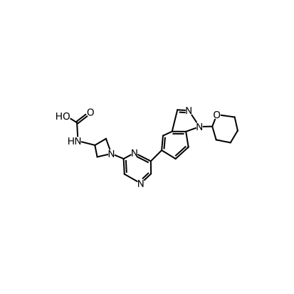 O=C(O)NC1CN(c2cncc(-c3ccc4c(cnn4C4CCCCO4)c3)n2)C1